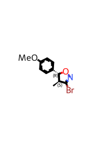 COc1ccc([C@@H]2ON=C(Br)[C@H]2C)cc1